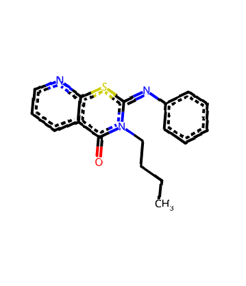 CCCCn1c(=Nc2ccccc2)sc2ncccc2c1=O